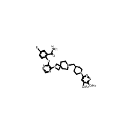 CCNC(=O)c1cc(F)ccc1Oc1nncnc1N1CC2(CCN(CC3CCN(c4cc(OC)c(OC)nn4)CC3)CC2)C1